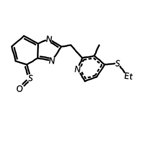 CCSc1ccnc(CC2=NC3=CC=CC(=S=O)C3=N2)c1C